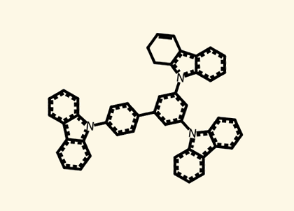 C1=Cc2c(n(-c3cc(-c4ccc(-n5c6ccccc6c6ccccc65)cc4)cc(-n4c5ccccc5c5ccccc54)c3)c3ccccc23)CC1